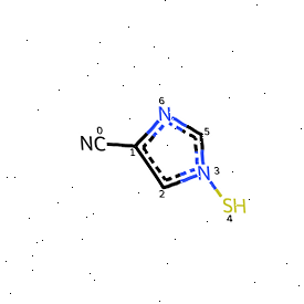 N#Cc1cn(S)cn1